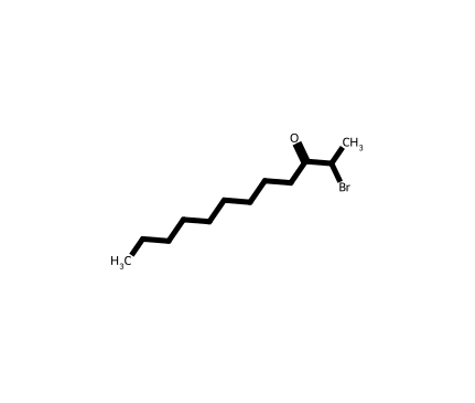 CCCCCCCCCC(=O)C(C)Br